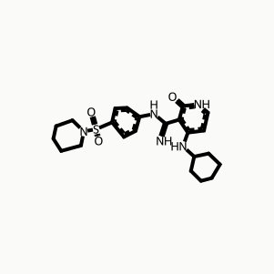 N=C(Nc1ccc(S(=O)(=O)N2CCCCC2)cc1)c1c(NC2CCCCC2)cc[nH]c1=O